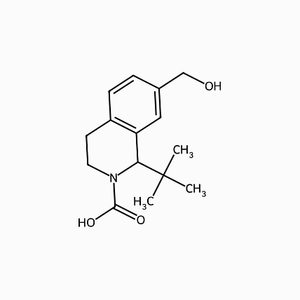 CC(C)(C)C1c2cc(CO)ccc2CCN1C(=O)O